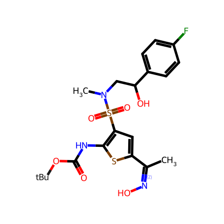 C/C(=N/O)c1cc(S(=O)(=O)N(C)CC(O)c2ccc(F)cc2)c(NC(=O)OC(C)(C)C)s1